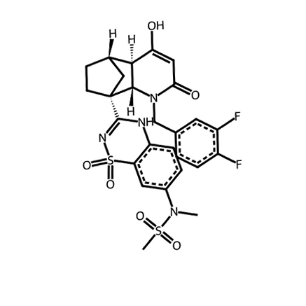 CN(c1ccc2c(c1)S(=O)(=O)N=C([C@]13CC[C@@H](C1)[C@H]1C(O)=CC(=O)N(Cc4ccc(F)c(F)c4)[C@@H]13)N2)S(C)(=O)=O